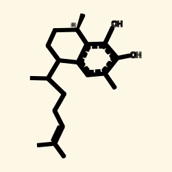 CC(C)=CCCC(C)C1CC[C@@H](C)c2c1cc(C)c(O)c2O